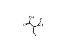 CC[C@H](NF)C(=O)O